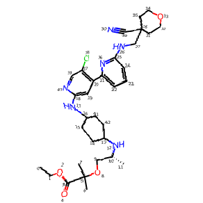 CCOC(=O)C(C)(C)OC[C@@H](C)NC1CCC(Nc2cc(-c3cccc(NCC4(C#N)CCOCC4)n3)c(Cl)cn2)CC1